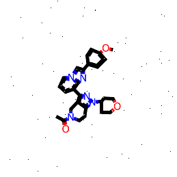 COC1=C=C=C(c2cn3cccc(-c4nn(C5CCOCC5)c5c4CN(C(C)=O)CC5)c3n2)C=C1